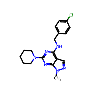 Cn1ncc2c(NCc3ccc(Cl)cc3)nc(N3CCCCC3)nc21